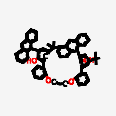 CC(C)(C)c1cc2c(O)c(c1)-c1c3ccccc3cc3c(cccc13)C(C)(C)c1cc(c(O)c(-c3c4ccccc4cc4ccccc34)c1)-c1ccccc1OCCCOc1ccccc1-2